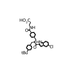 CC(C)(C)c1ccc(C[C@@H](Cc2ccc(C(=O)NCCC(=O)O)cc2)C(=O)c2cc3cc(Cl)ccc3[nH]2)cc1